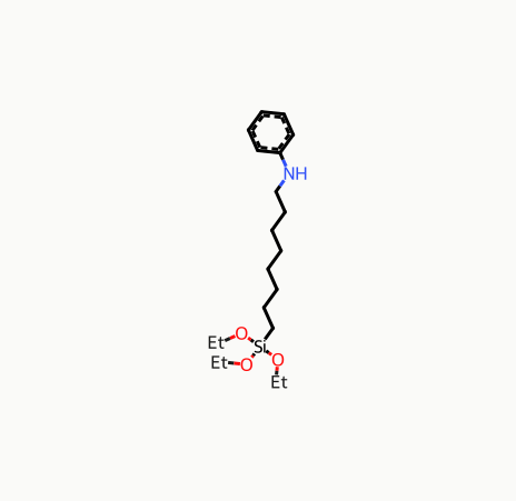 CCO[Si](CCCCCCCCNc1ccccc1)(OCC)OCC